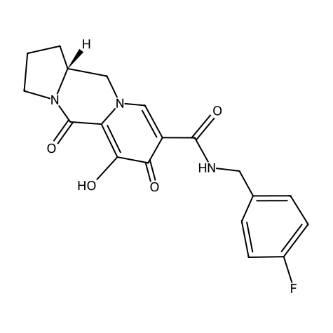 O=C(NCc1ccc(F)cc1)c1cn2c(c(O)c1=O)C(=O)N1CCC[C@@H]1C2